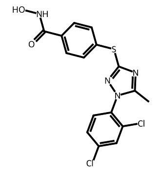 Cc1nc(Sc2ccc(C(=O)NO)cc2)nn1-c1ccc(Cl)cc1Cl